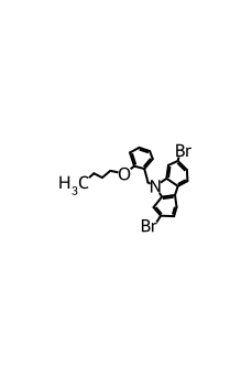 CCCCOc1ccccc1Cn1c2cc(Br)ccc2c2ccc(Br)cc21